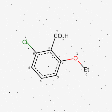 CCOc1cccc(Cl)c1C(=O)O